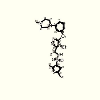 CCn1c(Oc2cccc(N3CCN(C)CC3)c2)nnc1[C@@H](C)NS(=O)(=O)c1cc(C)sc1C